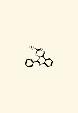 CC(=O)On1c(-c2ccccc2)nc2ccccc2c1=S